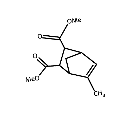 COC(=O)C1C2C=C(C)C(C2)C1C(=O)OC